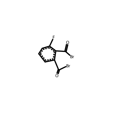 O=C(Br)c1cccc(F)c1C(=O)Br